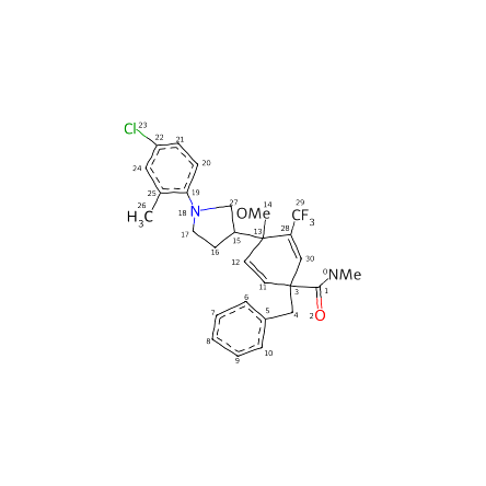 CNC(=O)C1(Cc2ccccc2)C=CC(OC)(C2CCN(c3ccc(Cl)cc3C)C2)C(C(F)(F)F)=C1